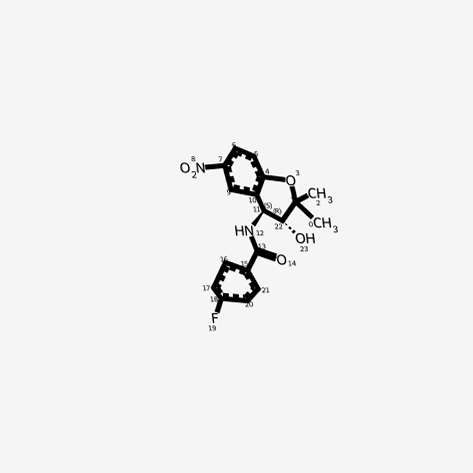 CC1(C)Oc2ccc([N+](=O)[O-])cc2[C@H](NC(=O)c2ccc(F)cc2)[C@H]1O